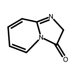 O=C1CN=C2C=CC=CN12